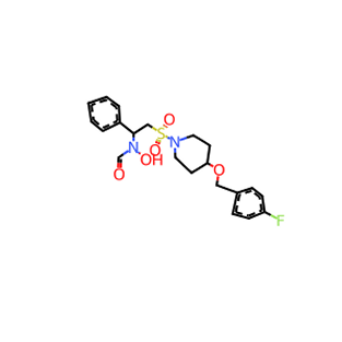 O=CN(O)C(CS(=O)(=O)N1CCC(OCc2ccc(F)cc2)CC1)c1ccccc1